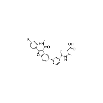 CNC(=O)c1c(-c2ccc(F)cc2)oc2ccc(-c3cccc(C(=O)NC(C)CC(=O)O)c3)cc12